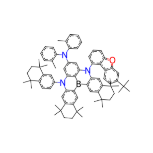 Cc1ccccc1N(c1cc2c3c(c1)N(c1cccc4oc5cc(C(C)(C)C)ccc5c14)c1cc4c(cc1B3c1cc3c(cc1N2c1ccc2c(c1)C(C)(C)CCC2(C)C)C(C)(C)CCC3(C)C)C(C)(C)CCC4(C)C)c1ccccc1C